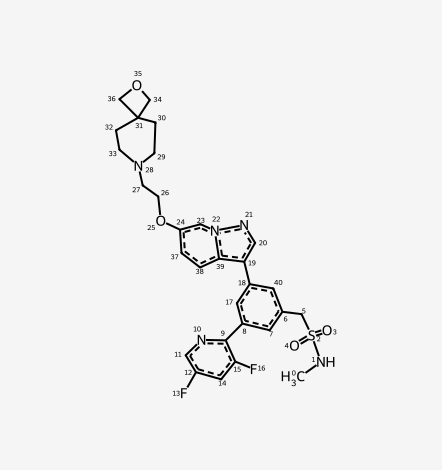 CNS(=O)(=O)Cc1cc(-c2ncc(F)cc2F)cc(-c2cnn3cc(OCCN4CCC5(CC4)COC5)ccc23)c1